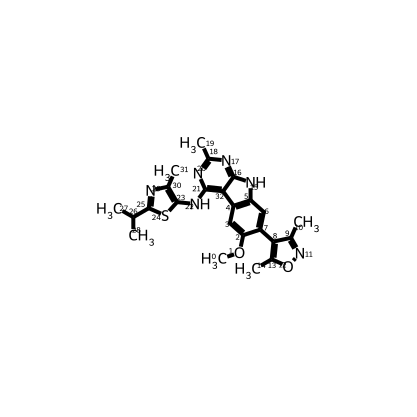 COc1cc2c(cc1-c1c(C)noc1C)[nH]c1nc(C)nc(Nc3sc(C(C)C)nc3C)c12